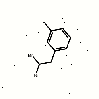 Cc1cccc(CC(Br)Br)c1